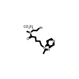 CCOC(=O)[C@H](CC(C)C)N(C)C(=O)CCCCn1c(C)nc2cnccc21